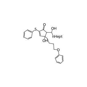 CCCCCCCC(O)C1C(=O)C(Sc2ccccc2)=CC1(O)CCCCOc1ccccc1